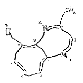 Cc1cnc2cccc(Cl)c2n1